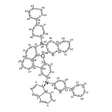 C1=CC2=CC=C[C@@H](N(c3ccc(-c4ccccc4)cc3)c3ccc4c(c3)-c3cccc5ccc(N(c6ccc(-c7ccccc7)cc6)c6ccc7ccccc7c6)c(c35)O4)C2C=C1